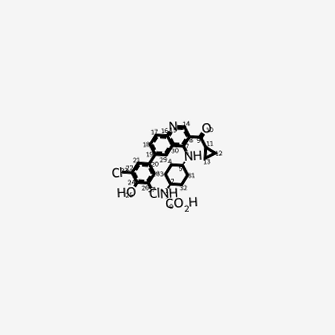 O=C(O)N[C@H]1CC[C@H](Nc2c(C(=O)C3CC3)cnc3ccc(-c4cc(Cl)c(O)c(Cl)c4)cc23)CC1